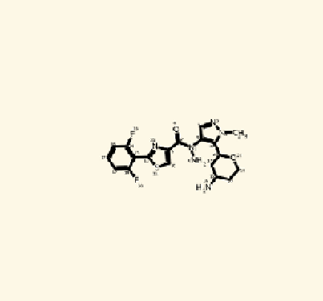 Cn1ncc(N(N)C(=O)c2csc(-c3c(F)cccc3F)n2)c1C1CC(N)CCO1